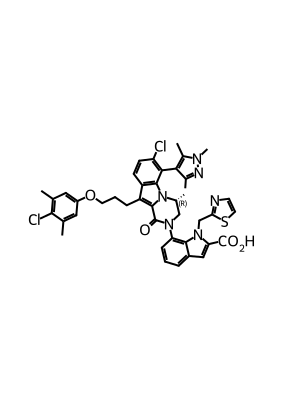 Cc1cc(OCCCc2c3n(c4c(-c5c(C)nn(C)c5C)c(Cl)ccc24)[C@H](C)CN(c2cccc4cc(C(=O)O)n(Cc5nccs5)c24)C3=O)cc(C)c1Cl